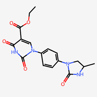 CCOC(=O)c1cn(-c2ccc(N3CC(C)NC3=O)cc2)c(=O)[nH]c1=O